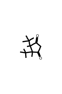 CC(C)(C)C1(C)C(=O)CC(=O)C1(C)C(C)(C)C